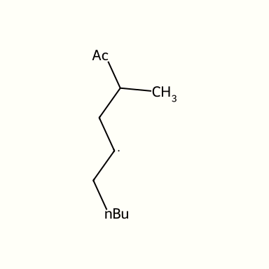 CCCCC[CH]CC(C)C(C)=O